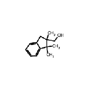 CC1(CO)Cc2ccccc2C1(C)C